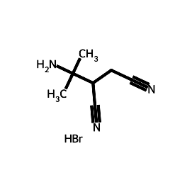 Br.CC(C)(N)C(C#N)CC#N